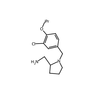 CC(C)Oc1ccc(CN2CCCC2CN)cc1Cl